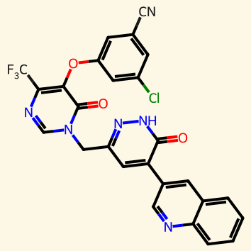 N#Cc1cc(Cl)cc(Oc2c(C(F)(F)F)ncn(Cc3cc(-c4cnc5ccccc5c4)c(=O)[nH]n3)c2=O)c1